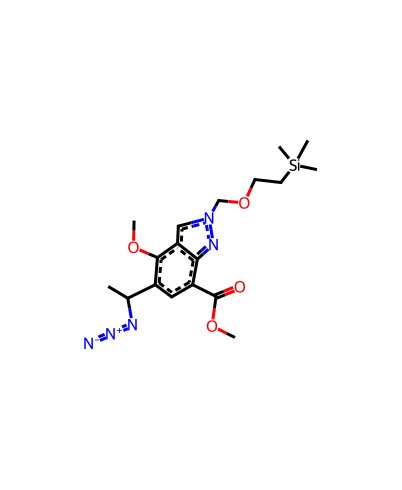 COC(=O)c1cc(C(C)N=[N+]=[N-])c(OC)c2cn(COCC[Si](C)(C)C)nc12